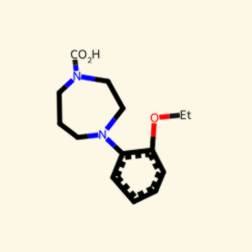 CCOc1ccccc1N1CCCN(C(=O)O)CC1